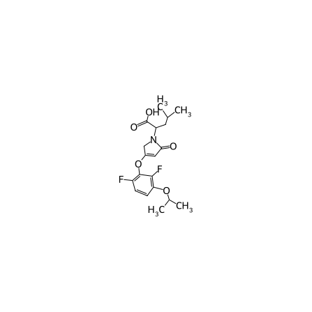 CC(C)CC(C(=O)O)N1CC(Oc2c(F)ccc(OC(C)C)c2F)=CC1=O